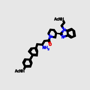 CC(=O)NCCn1c([C@@H]2CCCN(C(=O)C[C@H](N)Cc3ccc(-c4ccc(NC(C)=O)cc4)cc3)C2)nc2ccccc21